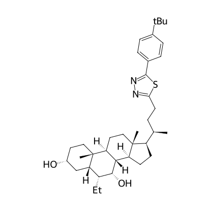 CC[C@H]1[C@@H](O)[C@@H]2[C@H](CC[C@]3(C)[C@@H]([C@H](C)CCc4nnc(-c5ccc(C(C)(C)C)cc5)s4)CC[C@@H]23)[C@@]2(C)CC[C@@H](O)C[C@@H]12